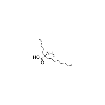 C=CCCCCCCC(N)(CCCC=C)C(=O)O